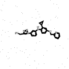 CC(C)Cc1cn(-c2cccc(Nc3ccc(OCc4ccccn4)cc3C3CC3)c2)nn1